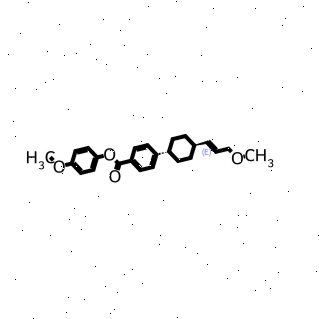 COC/C=C/[C@H]1CC[C@H](c2ccc(C(=O)Oc3ccc(OC)cc3)cc2)CC1